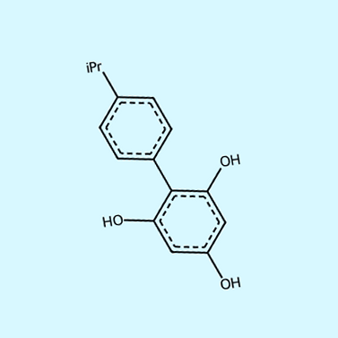 CC(C)c1ccc(-c2c(O)cc(O)cc2O)cc1